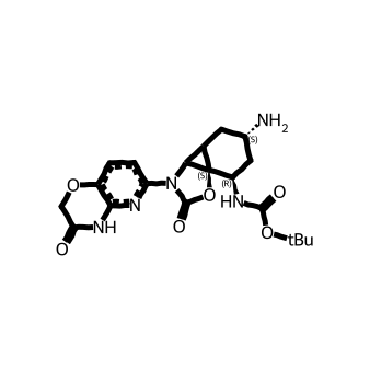 CC(C)(C)OC(=O)N[C@@H]1C[C@@H](N)CC2C3N(c4ccc5c(n4)NC(=O)CO5)C(=O)O[C@]231